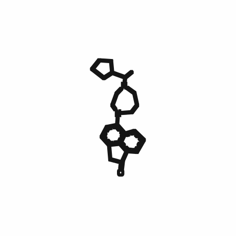 CC(C1CCCC1)N1CCCN(c2ccc3c4c(cccc24)C(=O)C3)CC1